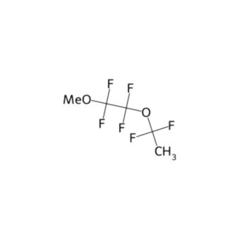 COC(F)(F)C(F)(F)OC(C)(F)F